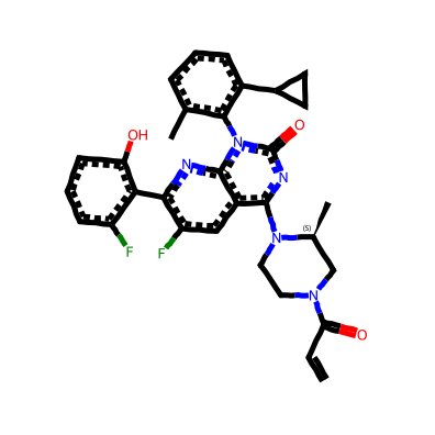 C=CC(=O)N1CCN(c2nc(=O)n(-c3c(C)cccc3C3CC3)c3nc(-c4c(O)cccc4F)c(F)cc23)[C@@H](C)C1